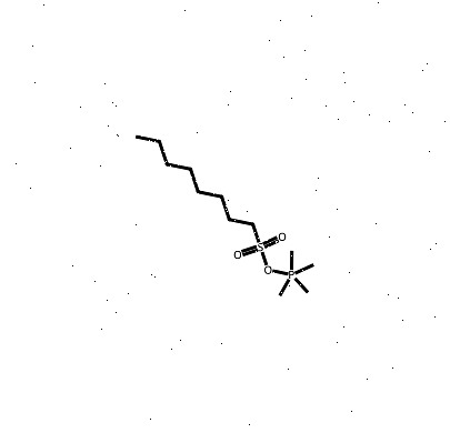 CCCCCCCCS(=O)(=O)OP(C)(C)(C)C